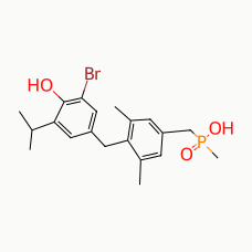 Cc1cc(CP(C)(=O)O)cc(C)c1Cc1cc(Br)c(O)c(C(C)C)c1